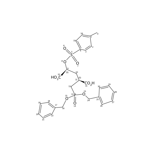 Cc1ccc(S(=O)(=O)O[C@@H](C[C@H](CP(=O)(OCc2ccccc2)OCc2ccccc2)C(=O)O)C(=O)O)cc1